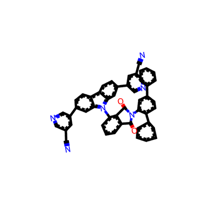 N#Cc1cncc(-c2ccc3c4ccc(-c5cncc(C#N)c5)cc4n(-c4cccc5c4C(=O)N(c4cc(-c6ccccc6)ccc4-c4ccccc4)C5=O)c3c2)c1